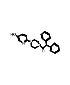 O=C(C(c1ccccc1)c1ccccc1)N1CCN(c2ccc(O)cn2)CC1